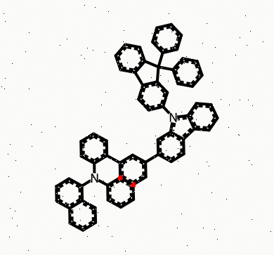 c1ccc(N(c2ccccc2-c2cccc(-c3ccc4c5ccccc5n(-c5ccc6c(c5)C(c5ccccc5)(c5ccccc5)c5ccccc5-6)c4c3)c2)c2cccc3ccccc23)cc1